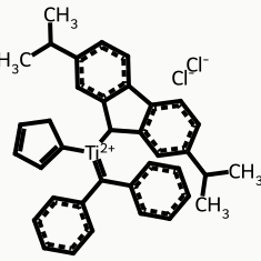 CC(C)c1ccc2c(c1)[CH]([Ti+2]([C]1=CC=CC1)=[C](c1ccccc1)c1ccccc1)c1cc(C(C)C)ccc1-2.[Cl-].[Cl-]